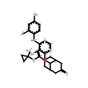 Cc1c(Nc2ccc(C#N)cc2Cl)ncnc1OC1C2CC(=O)CC1CN(C(=O)OC1(C)CC1)C2